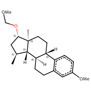 COCO[C@H]1C[C@H](C)[C@H]2[C@@H]3CCc4cc(OC)ccc4[C@H]3CC[C@@]21C